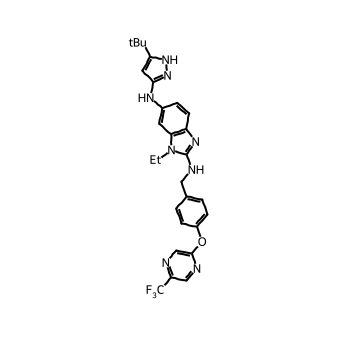 CCn1c(NCc2ccc(Oc3cnc(C(F)(F)F)cn3)cc2)nc2ccc(Nc3cc(C(C)(C)C)[nH]n3)cc21